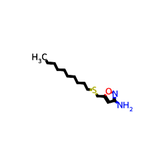 CCCCCCCCCCSCc1cc(N)no1